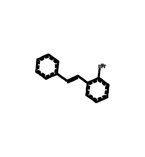 CCCc1ccccc1/C=C/c1ccccc1